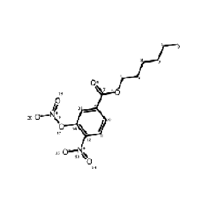 CCCCCCOC(=O)c1ccc([N+](=O)[O-])c(O[N+](=O)[O-])c1